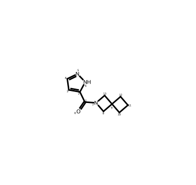 O=C(c1ccn[nH]1)N1CC2(CCC2)C1